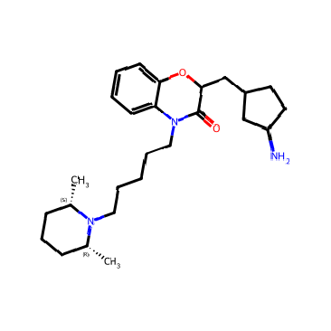 C[C@@H]1CCC[C@H](C)N1CCCCCN1C(=O)C(CC2CCC(N)C2)Oc2ccccc21